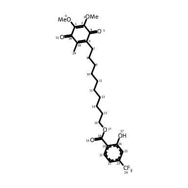 COC1=C(OC)C(=O)C(CCCCCCCCCCOC(=O)c2ccc(C(F)(F)F)cc2O)=C(C)C1=O